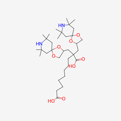 CC1(C)CC2(CC(C)(C)N1)OCC(CC(CCCCCCCC(=O)O)(CC1COC3(CC(C)(C)NC(C)(C)C3)O1)C(=O)O)O2